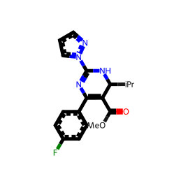 COC(=O)C1=C(c2ccc(F)cc2)N=C(n2cccn2)NC1C(C)C